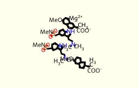 CNS(=O)(=O)Cc1ccc2[nH]cc(CCN(C)C)c2c1.CNS(=O)(=O)Cc1ccc2[nH]cc(CCN(C)C)c2c1.COc1ccc2cc([C@H](C)C(=O)[O-])ccc2c1.COc1ccc2cc([C@H](C)C(=O)[O-])ccc2c1.[Mg+2]